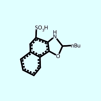 CCCCC1Nc2c(S(=O)(=O)O)cc3ccccc3c2O1